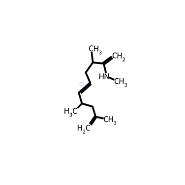 C=C(C)CC(C)/C=C/CC(C)C(=C)NC